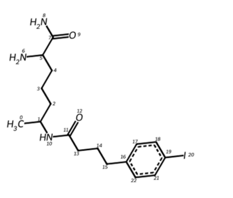 CC(CCCC(N)C(N)=O)NC(=O)CCCc1ccc(I)cc1